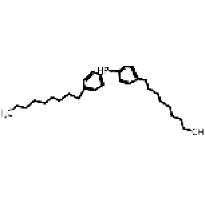 CCCCCCCCCc1ccc(Pc2ccc(CCCCCCCCC)cc2)cc1